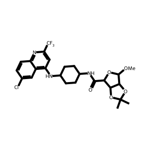 COC1OC(C(=O)NC2CCC(Nc3cc(C(F)(F)F)nc4ccc(Cl)cc34)CC2)C2OC(C)(C)OC12